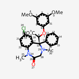 COc1cc(OC)cc(OC(C(=O)O)[C@]2(c3ccccc3)c3cc(Cl)ccc3N(C)C(=O)CN2C(C)=O)c1